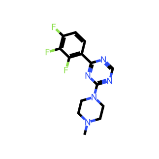 CN1CCN(c2ncnc(-c3ccc(F)c(F)c3F)n2)CC1